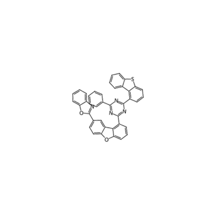 c1ccc(-c2nc(-c3cccc4oc5ccc(-c6nc7ccccc7o6)cc5c34)nc(-c3cccc4sc5ccccc5c34)n2)cc1